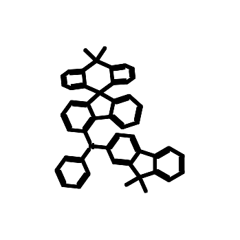 CC1(C)c2ccccc2-c2ccc(N(c3ccccc3)c3cccc4c3-c3ccccc3C43c4ccccc4C(C)(C)c4ccccc43)cc21